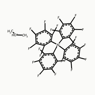 C[OH+]C.Fc1c(F)c(F)[c]([Al-]([c]2c(F)c(F)c(F)c(F)c2F)([c]2c(F)c(F)c(F)c(F)c2F)[c]2c(F)c(F)c(F)c(F)c2F)c(F)c1F